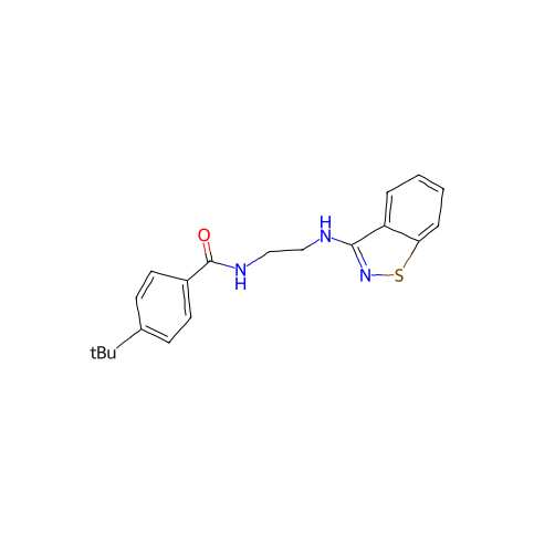 CC(C)(C)c1ccc(C(=O)NCCNc2nsc3ccccc23)cc1